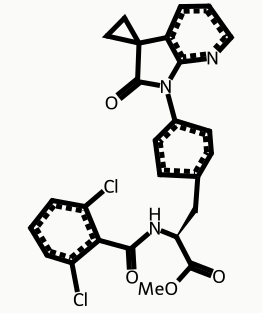 COC(=O)[C@H](Cc1ccc(N2C(=O)C3(CC3)c3cccnc32)cc1)NC(=O)c1c(Cl)cccc1Cl